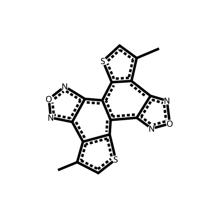 Cc1csc2c1c1nonc1c1c3scc(C)c3c3nonc3c21